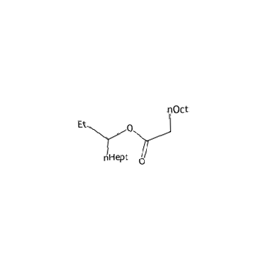 CCCCCCCCCC(=O)OC(CC)CCCCCCC